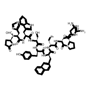 CC(C)C[C@@H](NC(=O)[C@@H](Cc1ccc2ccccc2c1)NC(=O)[C@@H](Cc1ccc(O)cc1)NC(=O)[C@@H](CO)NC(=O)[C@H](Cc1c[nH]c2ccccc12)NC(=O)[C@H](Cc1c[nH]cn1)N(C=O)[C@@H]1CCC(=O)N1)C(=O)N[C@H](CCCNC(=N)N)C(=O)N1CCC[C@H]1C(=O)NCC(N)=O